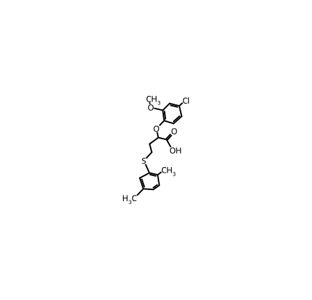 COc1cc(Cl)ccc1OC(CCSc1cc(C)ccc1C)C(=O)O